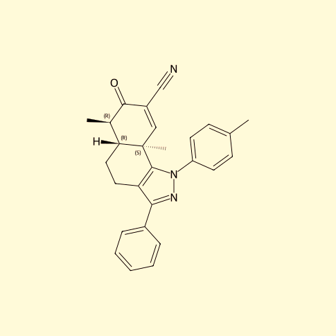 Cc1ccc(-n2nc(-c3ccccc3)c3c2[C@]2(C)C=C(C#N)C(=O)[C@H](C)[C@H]2CC3)cc1